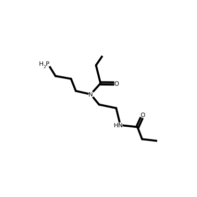 CCC(=O)NCCN(CCCP)C(=O)CC